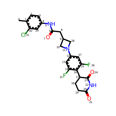 Cc1ccc(NC(=O)CC2CN(c3cc(F)c(C4CCC(=O)NC4=O)c(F)c3)C2)cc1Cl